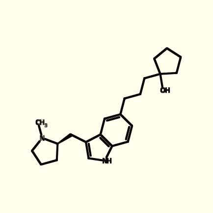 CN1CCC[C@@H]1Cc1c[nH]c2ccc(CCCC3(O)CCCC3)cc12